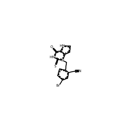 N#Cc1cc(Br)ccc1Cn1c(=S)[nH]c(=O)c2[nH]ccc21